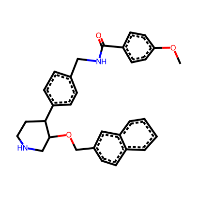 COc1ccc(C(=O)NCc2ccc(C3CCNCC3OCc3ccc4ccccc4c3)cc2)cc1